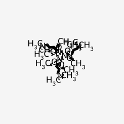 CCO[Si](CCCN(C)C)(OCC)N1CN([Si](CCCN(C)C)(OCC)OCC)CN([Si](CCCN(C)C)(OCC)OCC)C1